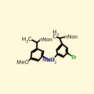 CCCCCCCCCC(C)c1cc(Br)cc(OC)c1.CCCCCCCCCC(C)c1cc(N)cc(OC)c1